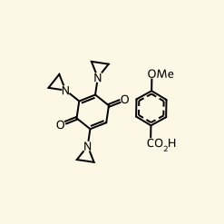 COc1ccc(C(=O)O)cc1.O=C1C=C(N2CC2)C(=O)C(N2CC2)=C1N1CC1